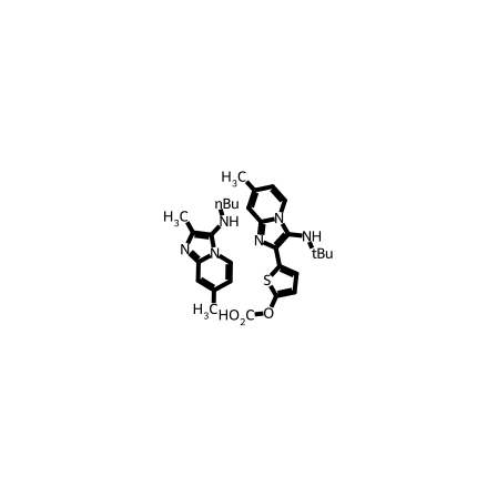 CCCCNc1c(C)nc2cc(C)ccn12.Cc1ccn2c(NC(C)(C)C)c(-c3ccc(OC(=O)O)s3)nc2c1